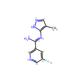 Cc1cn[nH]c1/N=C(\N)c1cncc(F)c1